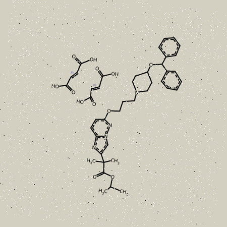 CC(C)OC(=O)C(C)(C)c1cn2nc(OCCCN3CCC(OC(c4ccccc4)c4ccccc4)CC3)ccc2n1.O=C(O)/C=C/C(=O)O.O=C(O)/C=C/C(=O)O